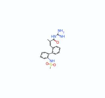 CC(=Cc1ccccc1-c1ccccc1NS(C)(=O)=O)C(=O)NC(=N)N